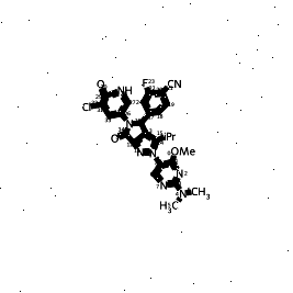 COc1nc(N(C)C)ncc1-n1nc2c(c1C(C)C)C(c1ccc(C#N)c(F)c1)N(c1c[nH]c(=O)c(Cl)c1)C2=O